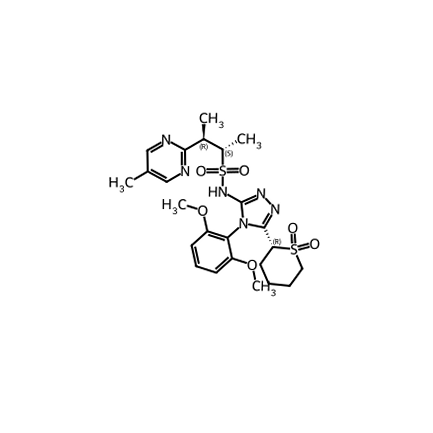 COc1cccc(OC)c1-n1c(NS(=O)(=O)[C@@H](C)[C@H](C)c2ncc(C)cn2)nnc1[C@H]1CCCCS1(=O)=O